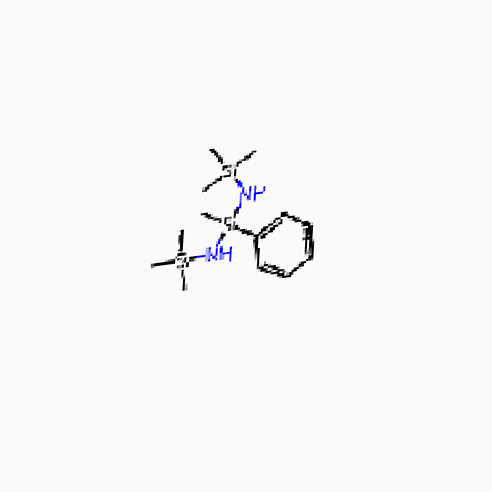 C[Si](C)(C)N[Si](C)(N[Si](C)(C)C)c1ccccc1